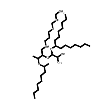 CCCCCCCC(C)OC(C)C(CNCCCOCPCN)OC(OC(CCCCCCC)CCCCCCC)C(O)O